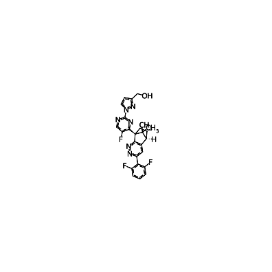 CC1(C)[C@H]2CC[C@@]1(c1nc(-n3ccc(CO)n3)ncc1F)c1nnc(-c3c(F)cccc3F)cc12